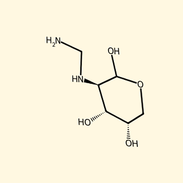 NCN[C@H]1C(O)OC[C@H](O)[C@@H]1O